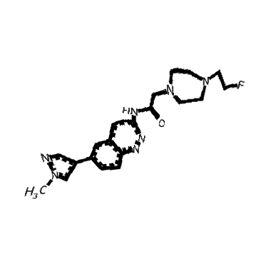 Cn1cc(-c2ccc3nnc(NC(=O)CN4CCN(CCF)CC4)cc3c2)cn1